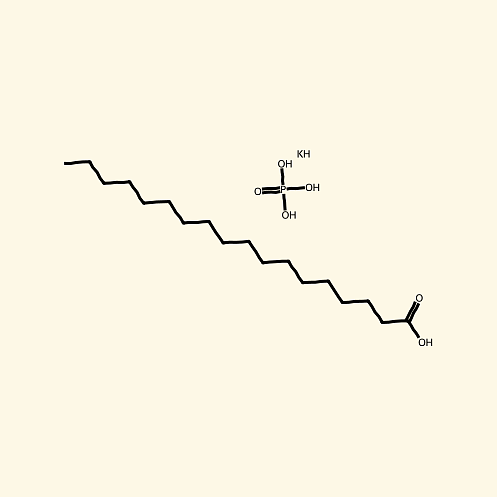 CCCCCCCCCCCCCCCCCC(=O)O.O=P(O)(O)O.[KH]